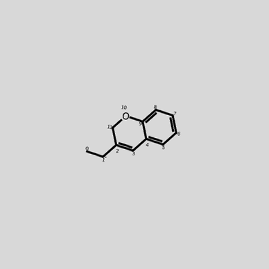 C[CH]C1=Cc2ccccc2OC1